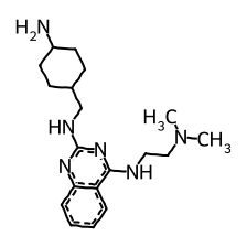 CN(C)CCNc1nc(NCC2CCC(N)CC2)nc2ccccc12